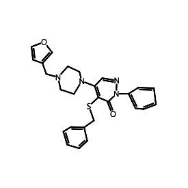 O=c1c(SCc2ccccc2)c(N2CCN(Cc3ccoc3)CC2)cnn1-c1ccccc1